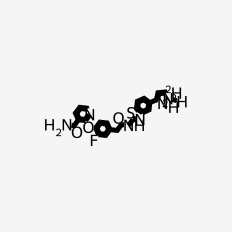 [2H]C([2H])([2H])n1ccc(-c2ccc3sc(NC(=O)Cc4ccc(Oc5ncccc5C(N)=O)c(F)c4)nc3c2)n1